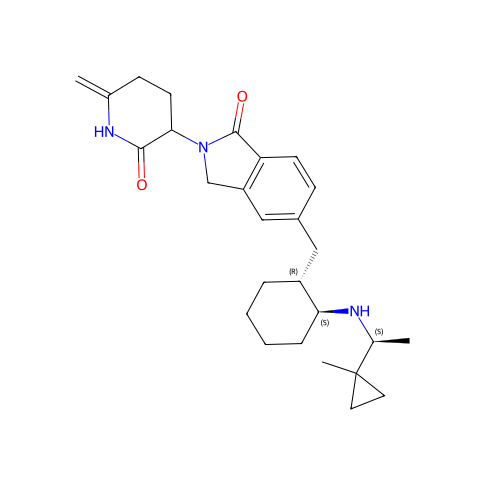 C=C1CCC(N2Cc3cc(C[C@H]4CCCC[C@@H]4N[C@@H](C)C4(C)CC4)ccc3C2=O)C(=O)N1